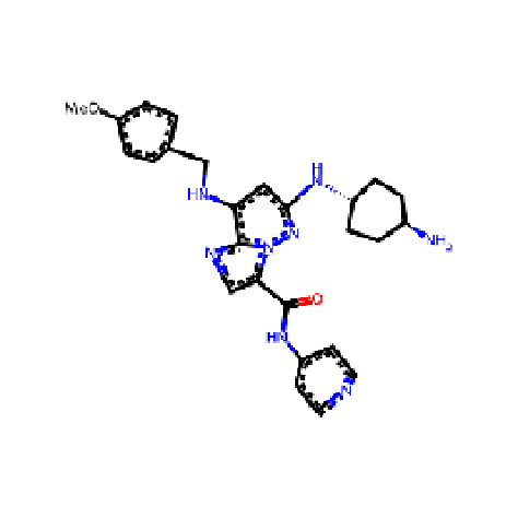 COc1ccc(CNc2cc(N[C@H]3CC[C@H](N)CC3)nn3c(C(=O)Nc4ccncc4)cnc23)cc1